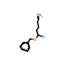 C=CCCCC(CC)OCc1ccccc1